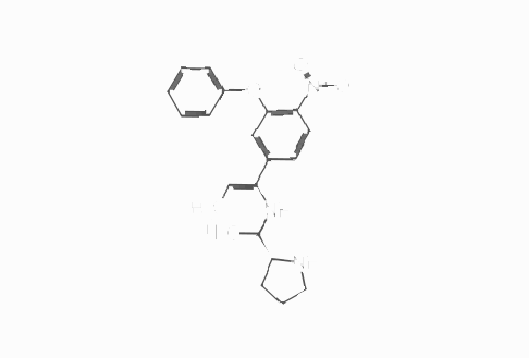 C/C=C(\NC(C)[C@@H]1CCCN1)c1ccc([N+](=O)[O-])c(Oc2ccccc2)c1